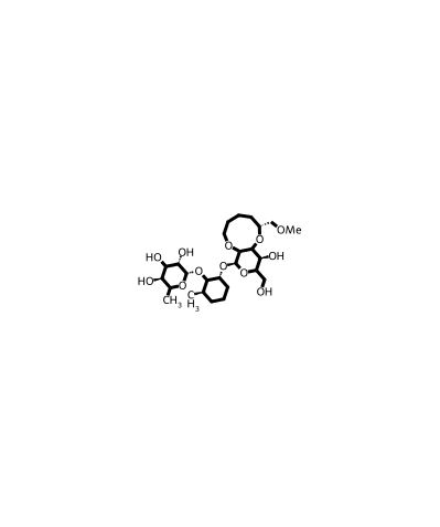 COC[C@H]1CCCCOC2C(O1)[C@@H](O)C(CO)O[C@H]2O[C@@H]1CCC[C@@H](C)C1O[C@@H]1OC(C)[C@@H](O)C(O)[C@@H]1O